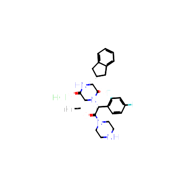 CC(C)C[C@@H]1C(=O)N[C@H](C2Cc3ccccc3C2)C(=O)N1[C@@H](C(=O)N1CCNCC1)c1ccc(F)cc1F.Cl